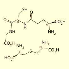 N[C@@H](CCC(=O)N[C@@H](CS)C(=O)NCC(=O)O)C(=O)O.N[C@@H](CSC[C@H](N)C(=O)O)C(=O)O